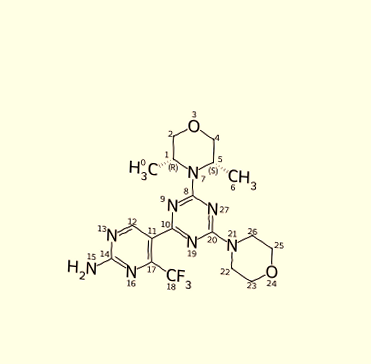 C[C@@H]1COC[C@H](C)N1c1nc(-c2cnc(N)nc2C(F)(F)F)nc(N2CCOCC2)n1